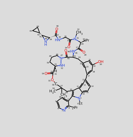 CCn1c(-c2cccnc2C(C)C)c2c3cc(ccc31)-c1cc(O)cc(c1)C[C@H](NC(=O)[C@H](C(C)C)N(C)C(=O)CNC(=O)[C@@H]1N[C@@H]1C1CC1)C(=O)N1CCC[C@H](N1)C(=O)OCC(C)(C)C2